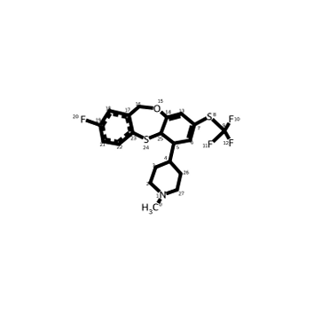 CN1CCC(C2C=C(SC(F)(F)F)C=C3OCc4cc(F)ccc4SC32)CC1